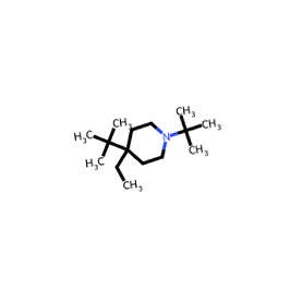 CCC1(C(C)(C)C)CCN(C(C)(C)C)CC1